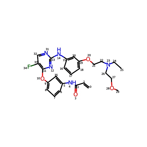 C=CC(=O)Nc1cccc(Oc2nc(Nc3cccc(OCCN(CC)CCOC)c3)ncc2F)c1